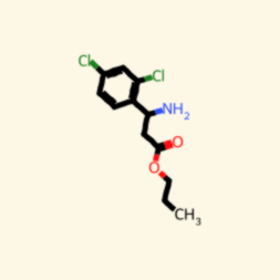 CCCOC(=O)CC(N)c1ccc(Cl)cc1Cl